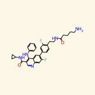 NCCCCC(=O)NCCc1ccc(-c2cc3c(Nc4ccccc4)c(C(=O)NC4CC4)cnc3cc2F)cc1F